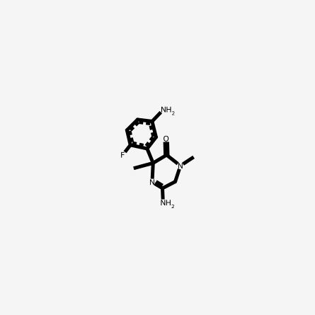 CN1CC(N)=NC(C)(c2cc(N)ccc2F)C1=O